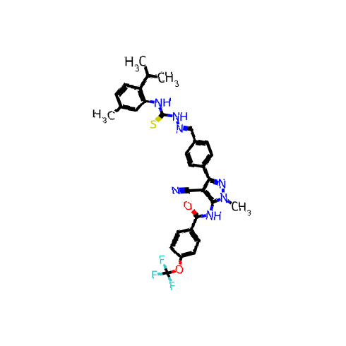 Cc1ccc(C(C)C)c(NC(=S)N/N=C/c2ccc(-c3nn(C)c(NC(=O)c4ccc(OC(F)(F)F)cc4)c3C#N)cc2)c1